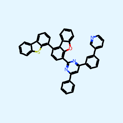 c1ccc(-c2cc(-c3cccc(-c4cccnc4)c3)nc(-c3ccc(-c4cccc5c4sc4ccccc45)c4c3oc3ccccc34)n2)cc1